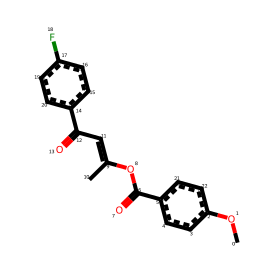 COc1ccc(C(=O)O/C(C)=C/C(=O)c2ccc(F)cc2)cc1